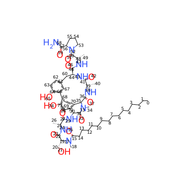 CCCCCCCCCCCCCCCC(=O)N(C)[C@H](CO)C(=O)N[C@H](C)C(=O)NCC(=O)N(C)[C@@H]1C(=O)N[C@@H](C)C(=O)N[C@H](C(=O)N[C@@H](C)C(=O)N2CCCC2C(N)=O)Cc2ccc(O)c(c2)-c2cc1ccc2O